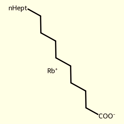 CCCCCCCCCCCCCCCC(=O)[O-].[Rb+]